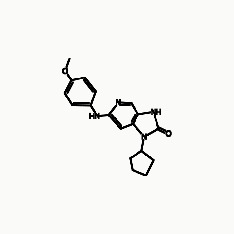 COc1ccc(Nc2cc3c(cn2)[nH]c(=O)n3C2CCCC2)cc1